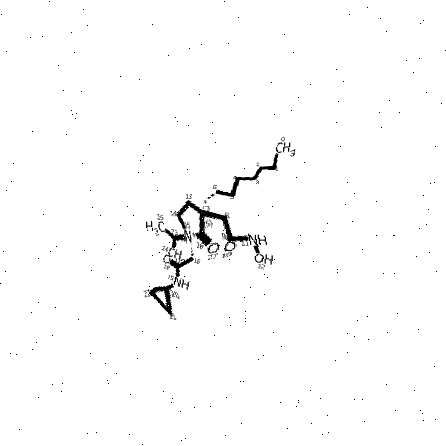 CCCCCCC[C@@]1(CC(=O)NO)CC[N@+](CC(=O)NC2CC2)(C(C)C)C1=O